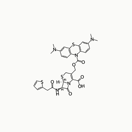 CN(C)c1ccc2c(c1)Sc1cc(N(C)C)ccc1N2C(=O)OCC1=C(C(=O)O)N2C(=O)[C@@H](NC(=O)Cc3cccs3)[C@H]2SC1